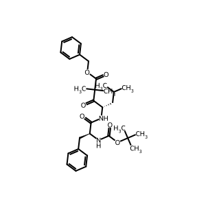 CC(C)C[C@H](NC(=O)[C@H](Cc1ccccc1)NC(=O)OC(C)(C)C)C(=O)C(C)(C)C(=O)OCc1ccccc1